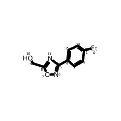 CCc1ccc(-c2noc(CO)n2)cc1